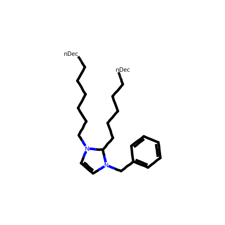 CCCCCCCCCCCCCCCCN1C=CN(Cc2ccccc2)C1CCCCCCCCCCCCCCC